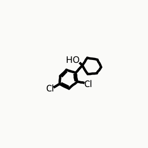 OC1(c2ccc(Cl)cc2Cl)CCCCC1